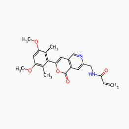 C=CC(=O)NCc1cc2c(=O)oc(-c3c(C)c(OC)cc(OC)c3C)cc2cn1